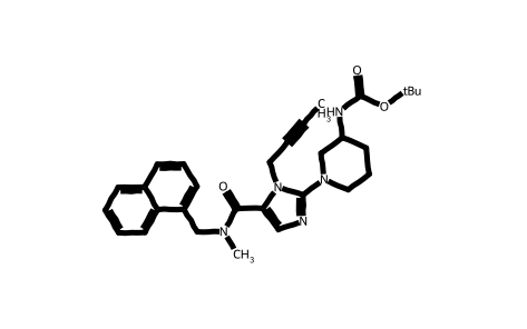 CC#CCn1c(C(=O)N(C)Cc2cccc3ccccc23)cnc1N1CCCC(NC(=O)OC(C)(C)C)C1